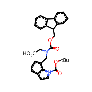 CC(C)(C)OC(=O)n1ccc2cccc(CN(CC(=O)O)C(=O)OCC3c4ccccc4-c4ccccc43)c21